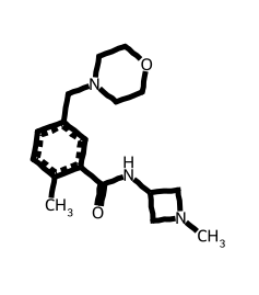 Cc1ccc(CN2CCOCC2)cc1C(=O)NC1CN(C)C1